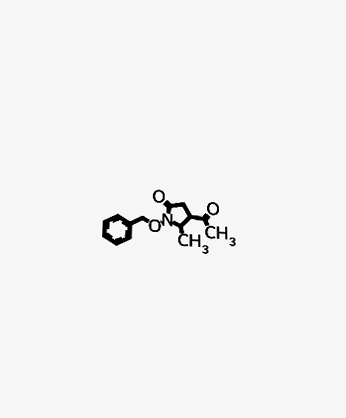 CC(=O)C1CC(=O)N(OCc2ccccc2)C1C